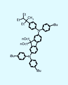 CCCCCCCCC1(CCCCCCCC)c2cc(N(c3ccc(C(C)CC)cc3)c3ccc(C(C)CC)cc3)ccc2-c2ccc(N(c3ccc(C(C)CC)cc3)c3ccc(C(C)(CC)C(CC)CC)cc3)cc21